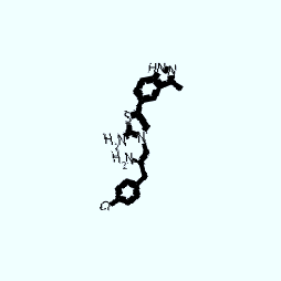 Cc1n[nH]c2ccc(C3=CN(C[C@H](N)Cc4ccc(Cl)cc4)C(N)S3)cc12